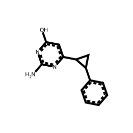 Nc1nc(O)cc(C2CC2c2ccccc2)n1